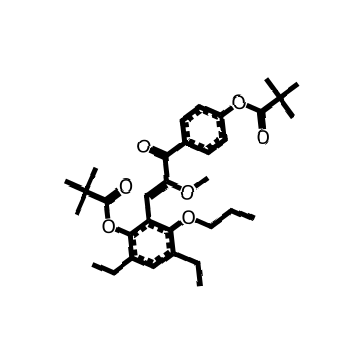 CCCOc1c(CC)cc(CC)c(OC(=O)C(C)(C)C)c1C=C(OC)C(=O)c1ccc(OC(=O)C(C)(C)C)cc1